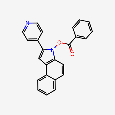 O=C(On1c(-c2ccncc2)cc2c3ccccc3ccc21)c1ccccc1